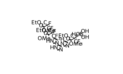 CCOC(=O)C(F)(C(=O)OC)C(F)(F)F.CCOC(=O)C(F)(C(=O)OC)C(F)(F)F.CCOC(=O)C(F)(C(=O)OC)C(F)(F)F.OB(O)O.c1c[nH]cn1.c1c[nH]cn1.c1c[nH]cn1